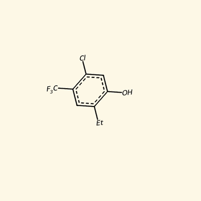 CCc1cc(C(F)(F)F)c(Cl)cc1O